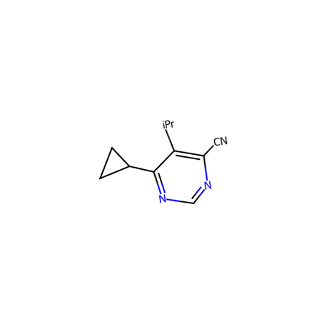 CC(C)c1c(C#N)ncnc1C1CC1